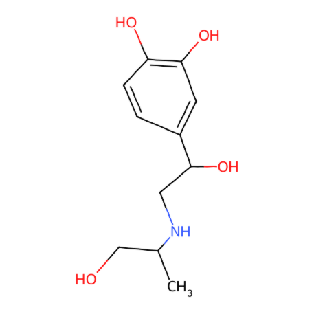 CC(CO)NCC(O)c1ccc(O)c(O)c1